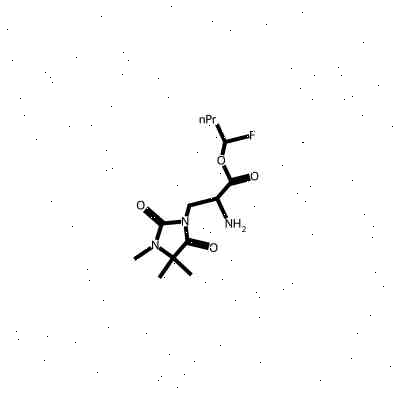 CCCC(F)OC(=O)C(N)CN1C(=O)N(C)C(C)(C)C1=O